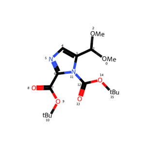 COC(OC)c1cnc(C(=O)OC(C)(C)C)n1C(=O)OC(C)(C)C